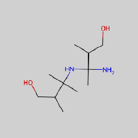 CC(CO)C(C)(C)NC(C)(N)C(C)CO